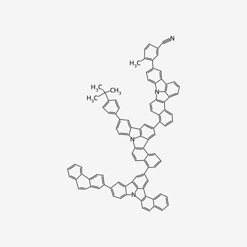 Cc1ccc(C#N)cc1-c1ccc2c(c1)c1cccc3c4c5cccc(-c6cc7c8cc(-c9ccc(C(C)(C)C)cc9)ccc8n8c9ccc%10c(-c%11cc%12c%13cc(-c%14ccc%15c(ccc%16ccccc%16%15)c%14)ccc%13n%13c%14ccc%15ccccc%15c%14c(c%11)c%12%13)cccc%10c9c(c6)c78)c5ccc4n2c13